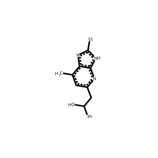 CCc1nc2c(C)cc(CC(O)C(C)C)nc2[nH]1